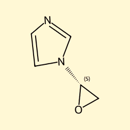 c1cn([C@@H]2CO2)cn1